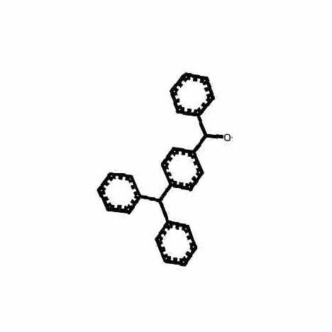 [O]C(c1ccccc1)c1ccc(C(c2ccccc2)c2ccccc2)cc1